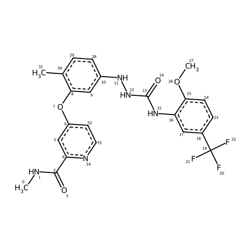 CNC(=O)c1cc(Oc2cc(NNC(=O)Nc3cc(C(F)(F)F)ccc3OC)ccc2C)ccn1